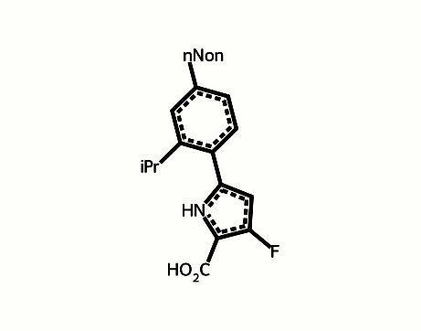 CCCCCCCCCc1ccc(-c2cc(F)c(C(=O)O)[nH]2)c(C(C)C)c1